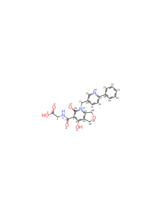 O=C(O)CNC(=O)c1c(O)c2c(n(Cc3ccc(-c4ccccc4)nc3)c1=O)COC2